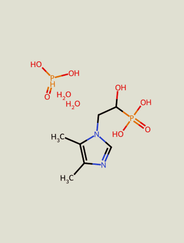 Cc1ncn(CC(O)P(=O)(O)O)c1C.O.O.O=[PH](O)O